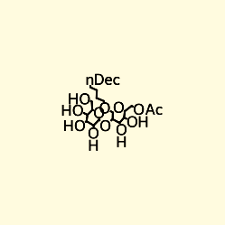 CCCCCCCCCCCCCCOC1OC(COC(C)=O)C(O)C(O)C1OC1OC(CO)C(O)C(O)C1O